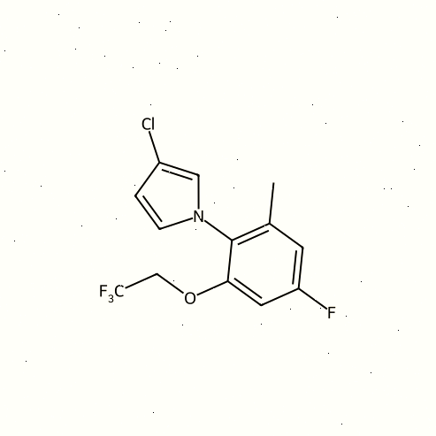 Cc1cc(F)cc(OCC(F)(F)F)c1-n1ccc(Cl)c1